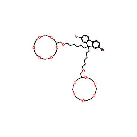 Brc1ccc2c(c1)C(CCCCCCOCC1COCCOCCOCCOCCOCCO1)(CCCCCCOCC1COCCOCCOCCOCCOCCO1)c1cc(Br)ccc1-2